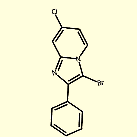 Clc1ccn2c(Br)c(-c3ccccc3)nc2c1